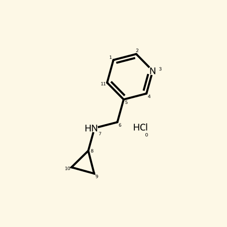 Cl.c1cncc(CNC2CC2)c1